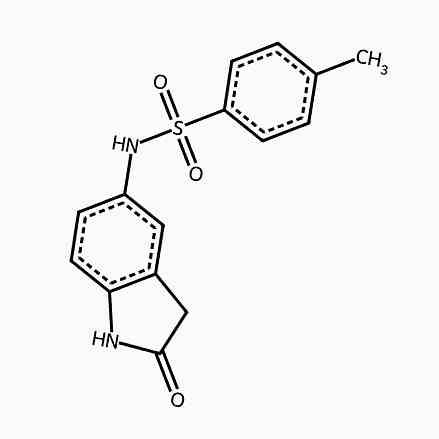 Cc1ccc(S(=O)(=O)Nc2ccc3c(c2)CC(=O)N3)cc1